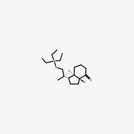 CC[Si](CC)(CC)OCC(C)[C@H]1CC[C@H]2C(=O)CCC[C@]12C